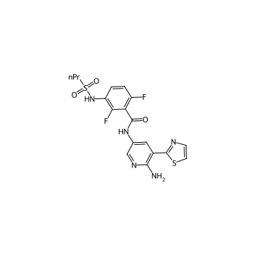 CCCS(=O)(=O)Nc1ccc(F)c(C(=O)Nc2cnc(N)c(-c3nccs3)c2)c1F